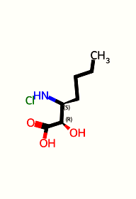 CCCC[C@H](NCl)[C@@H](O)C(=O)O